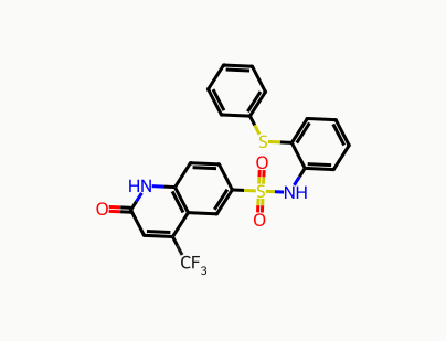 O=c1cc(C(F)(F)F)c2cc(S(=O)(=O)Nc3ccccc3Sc3ccccc3)ccc2[nH]1